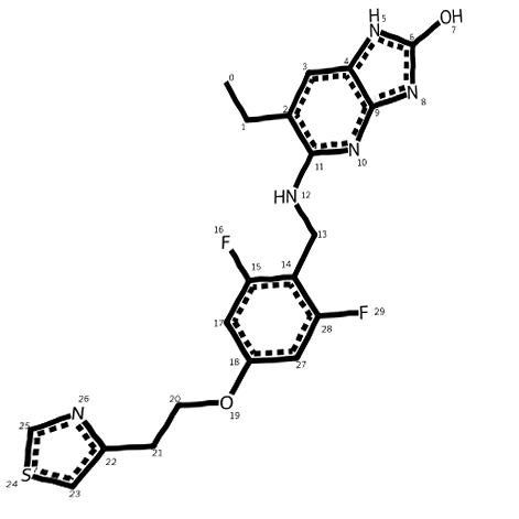 CCc1cc2[nH]c(O)nc2nc1NCc1c(F)cc(OCCc2cscn2)cc1F